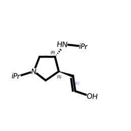 CC(C)N[C@H]1CN(C(C)C)C[C@@H]1/C=C/O